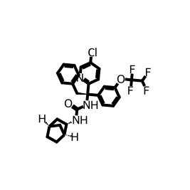 O=C(N[C@H]1C[C@@H]2CC[C@H]1C2)N[C@@](Cc1ccccc1)(c1cccc(OC(F)(F)C(F)F)c1)c1ccc(Cl)cn1